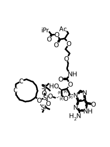 CC(=O)CC(OCCOCCNC(=O)O[C@@H]1[C@H](O)[C@@H](CO[Si](OC2CCCCCCCCCCC2)(O[Si](C)(C)C)O[Si](C)(C)C)O[C@H]1n1cnc2c(=O)[nH]c(N)nc21)C(=O)OC(=O)C(C)C